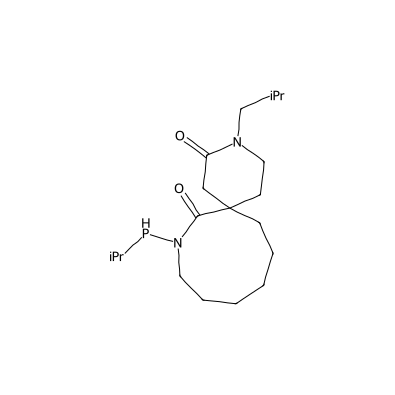 CC(C)CN1CCC2(CCCCCCN(PC(C)C)C2=O)CC1=O